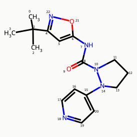 CC(C)(C)c1cc(NC(=O)N2CCCN2c2ccncc2)on1